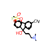 CN(C)CCC[C@](O)(c1ccc(F)cc1)c1ccc(C#N)cc1COS(C)(=O)=O